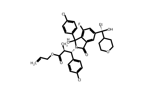 C=CCOC(=O)[C@@H](C)[C@@H](c1ccc(Cl)cc1)N1C(=O)c2cc([C@](O)(CC)C3CCOCC3)cc(F)c2C1(O)c1ccc(Cl)cc1